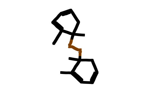 CC1=CC=CCC1(C)SSC1(C)CC=CC=C1C